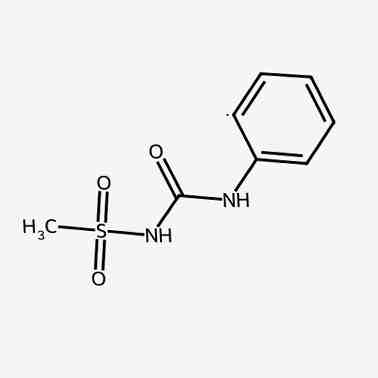 CS(=O)(=O)NC(=O)Nc1[c]cccc1